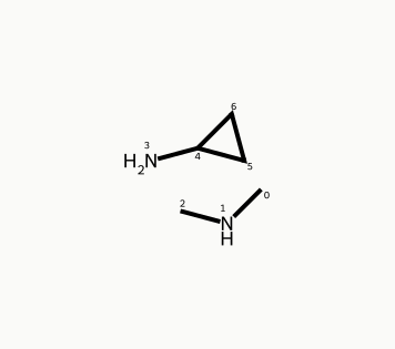 CNC.NC1CC1